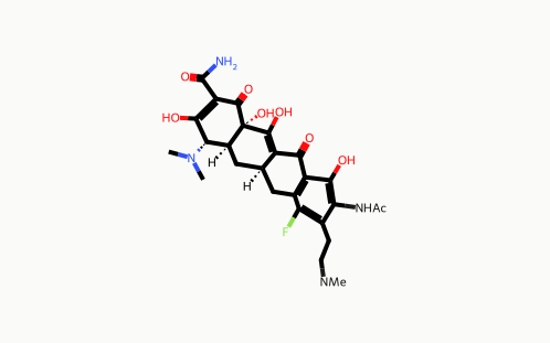 CNCCc1c(F)c2c(c(O)c1NC(C)=O)C(=O)C1=C(O)[C@]3(O)C(=O)C(C(N)=O)=C(O)[C@@H](N(C)C)[C@@H]3C[C@@H]1C2